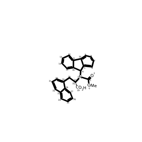 COC(=O)N(C1c2ccccc2-c2ccccc21)[C@@H](Cc1cccc2ccccc12)C(=O)O